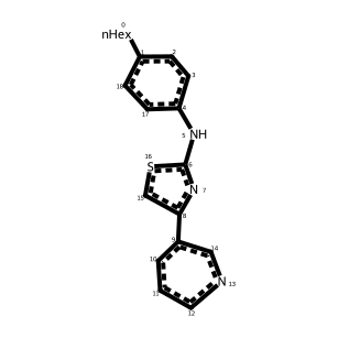 CCCCCCc1ccc(Nc2nc(-c3cccnc3)cs2)cc1